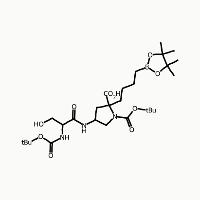 CC(C)(C)OC(=O)NC(CO)C(=O)NC1CN(C(=O)OC(C)(C)C)C(CCCCB2OC(C)(C)C(C)(C)O2)(C(=O)O)C1